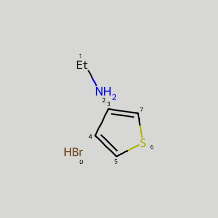 Br.CCN.c1ccsc1